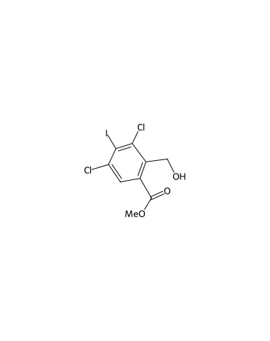 COC(=O)c1cc(Cl)c(I)c(Cl)c1CO